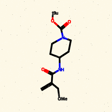 C=C(COC)C(=O)NC1CCN(C(=O)OC(C)(C)C)CC1